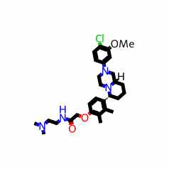 COc1cc(N2CCN3[C@@H](CCC[C@@H]3c3ccc(OCC(=O)NCCN(C)C)c(C)c3C)C2)ccc1Cl